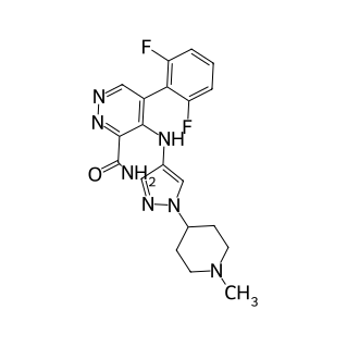 CN1CCC(n2cc(Nc3c(-c4c(F)cccc4F)cnnc3C(N)=O)cn2)CC1